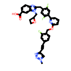 Cn1cc(C#Cc2ccc(COc3cccc(-c4cc(F)c(Cc5nc6ccc(C(=O)O)cc6n5CC5CCO5)cc4F)n3)c(F)c2)nn1